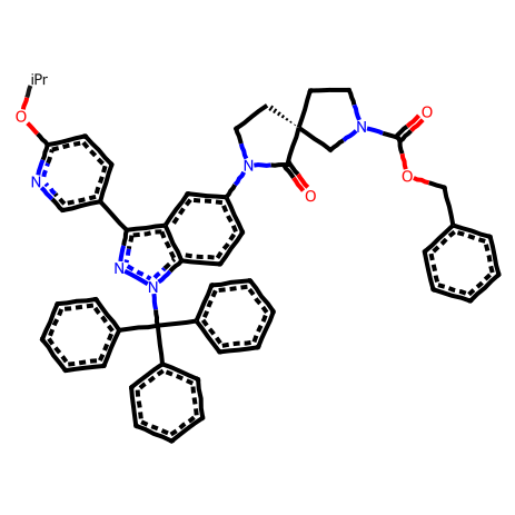 CC(C)Oc1ccc(-c2nn(C(c3ccccc3)(c3ccccc3)c3ccccc3)c3ccc(N4CC[C@@]5(CCN(C(=O)OCc6ccccc6)C5)C4=O)cc23)cn1